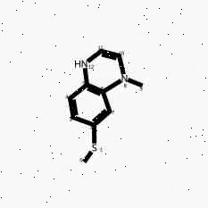 CSc1ccc2c(c1)N(C)C=CN2